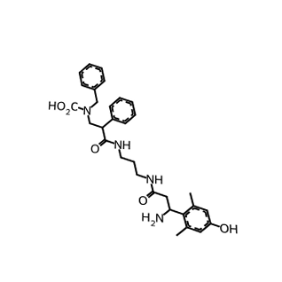 Cc1cc(O)cc(C)c1C(N)CC(=O)NCCCNC(=O)C(CN(Cc1ccccc1)C(=O)O)c1ccccc1